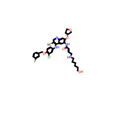 N#Cc1cnc2cc(O[C@H]3CCOC3)c(NC(=O)C=CCNCCCCCCO)cc2c1Nc1ccc(OCc2cccc(F)c2)c(Cl)c1